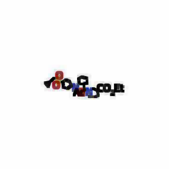 CCOC(=O)C1CCCN(C(=O)c2ccccc2N(C(C)=O)c2ccc(S(=O)(=O)CC3CC3)cc2)C1